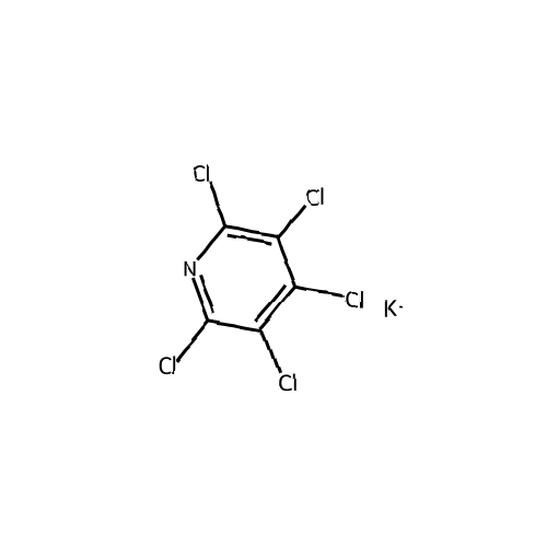 Clc1nc(Cl)c(Cl)c(Cl)c1Cl.[K]